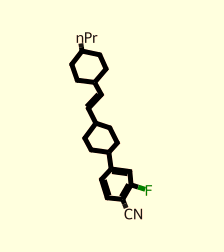 CCCC1CCC(C=CC2CCC(c3ccc(C#N)c(F)c3)CC2)CC1